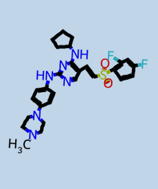 CN1CCN(c2ccc(Nc3ncc(C=CS(=O)(=O)c4ccc(F)cc4F)c(NC4CCCC4)n3)cc2)CC1